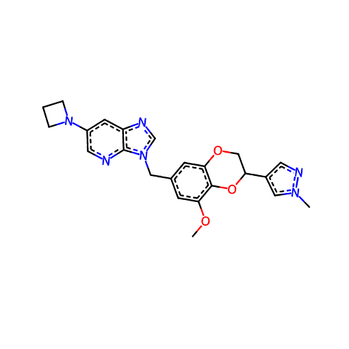 COc1cc(Cn2cnc3cc(N4CCC4)cnc32)cc2c1OC(c1cnn(C)c1)CO2